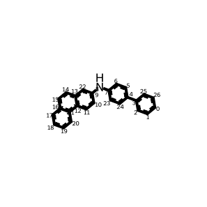 c1ccc(-c2ccc(Nc3ccc4c(ccc5ccccc54)c3)cc2)cc1